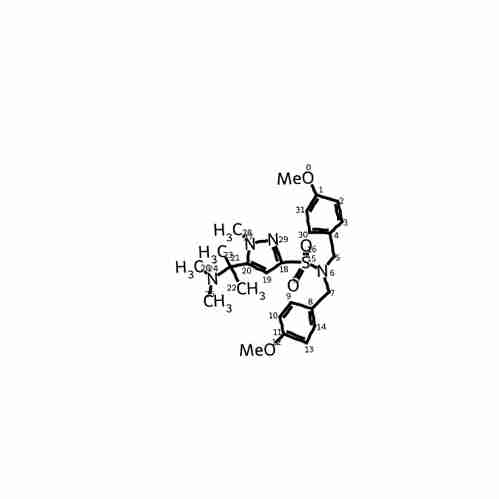 COc1ccc(CN(Cc2ccc(OC)cc2)S(=O)(=O)c2cc(C(C)(C)N(C)C)n(C)n2)cc1